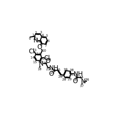 Cc1ccc2cccc(OCc3c(Cl)ccc(N(C)C(=O)CNC(=O)C=Cc4ccc(NC(=O)CN(C)C)cc4)c3Cl)c2n1